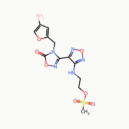 Bc1coc(Cn2c(-c3nonc3NCCOS(C)(=O)=O)noc2=O)c1